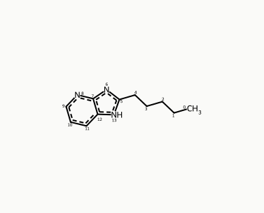 CCCCCc1nc2ncccc2[nH]1